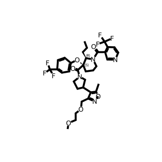 CCC[C@H]1N(C(=O)c2cnccc2C(F)(F)F)CCC[C@@]1(Oc1ccc(C(F)(F)F)cc1)C(=O)N1CCC(c2c(COCCOC)noc2C)C1